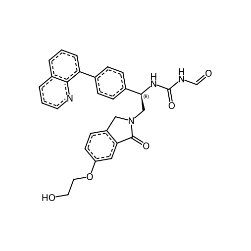 O=CNC(=O)N[C@@H](CN1Cc2ccc(OCCO)cc2C1=O)c1ccc(-c2cccc3cccnc23)cc1